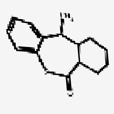 CC1c2ccccc2SC(=O)C2CCCCC21